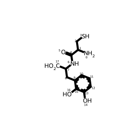 NC(CS)C(=O)NC(Cc1cccc(O)c1O)C(=O)O